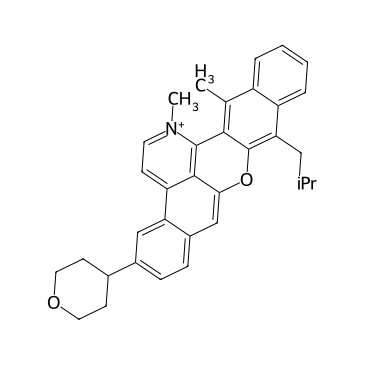 Cc1c2c(c(CC(C)C)c3ccccc13)Oc1cc3ccc(C4CCOCC4)cc3c3cc[n+](C)c-2c13